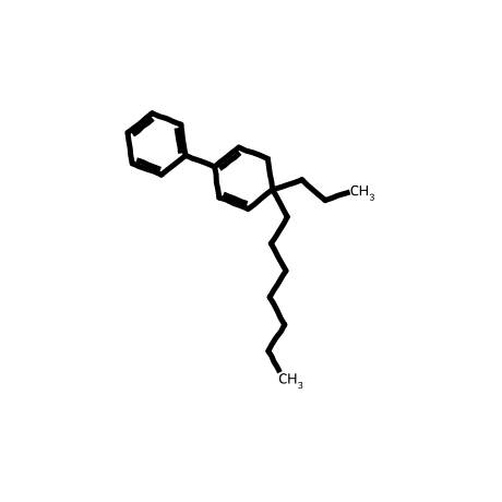 CCCCCCCC1(CCC)C=CC(c2ccccc2)=CC1